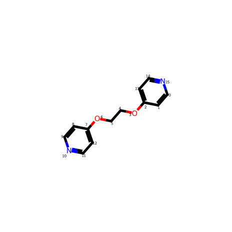 c1cc(OCCOc2ccncc2)ccn1